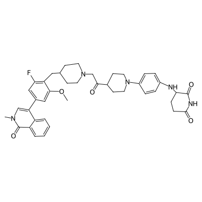 COc1cc(-c2cn(C)c(=O)c3ccccc23)cc(F)c1CC1CCN(CC(=O)C2CCN(c3ccc(NC4CCC(=O)NC4=O)cc3)CC2)CC1